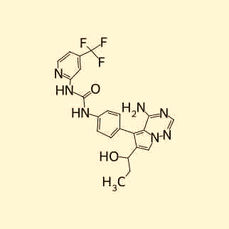 CCC(O)c1cn2ncnc(N)c2c1-c1ccc(NC(=O)Nc2cc(C(F)(F)F)ccn2)cc1